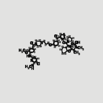 CNc1nc(Nc2ccc(C(=O)N3CCN(CCCOc4cccc(C(=O)c5csc([C@@H]6CCCN6C(=O)C(NC(=O)C(C)N(C)C(=O)O)C6CCCCC6)n5)c4)CC3)cc2OC)ncc1Cl